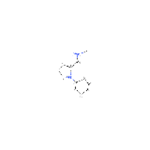 CNCC1CCCN1C1CCCCC1